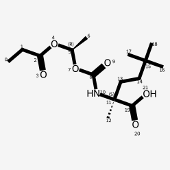 CCC(=O)O[C@@H](C)OC(=O)N[C@@](C)(CCC(C)(C)C)C(=O)O